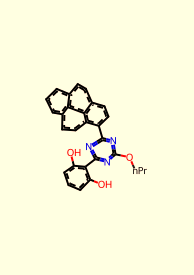 CCCOc1nc(-c2c(O)cccc2O)nc(-c2ccc3ccc4cccc5ccc2c3c45)n1